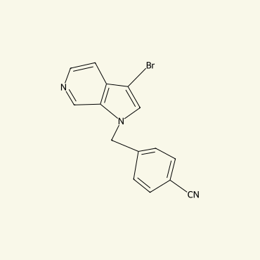 N#Cc1ccc(Cn2cc(Br)c3ccncc32)cc1